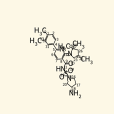 Cc1ccc(-c2ccc(C(=O)NS(=O)(=O)N3CC[C@H](N)C3)c(N3C[C@@H](C)CC3(C)C)n2)cc1C